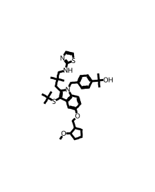 COC1CCCC1COc1ccc2c(c1)c(SC(C)(C)C)c(CC(C)(C)CNc1nccs1)n2Cc1ccc(C(C)(C)O)cc1